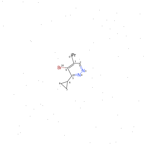 CC(C)c1cnnc(C2CC2)c1Br